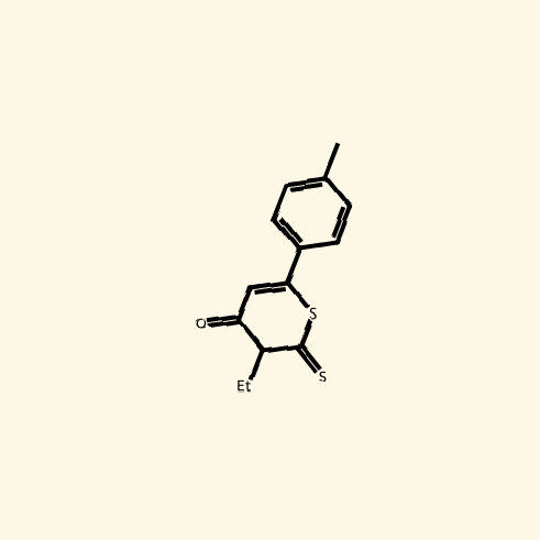 CCC1C(=O)C=C(c2ccc(C)cc2)SC1=S